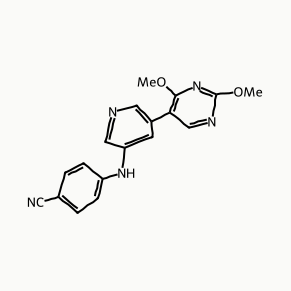 COc1ncc(-c2cncc(Nc3ccc(C#N)cc3)c2)c(OC)n1